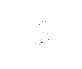 CCCCCC(OC(C)=O)c1ccc([C@@H]2[C@@H](CC=CCCCC(=O)OC)[C@H](Cl)C[C@H]2Cl)cc1